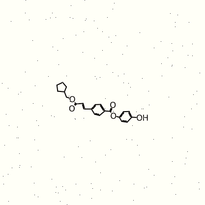 O=C(/C=C/c1ccc(C(=O)Oc2ccc(O)cc2)cc1)OCC1CCCC1